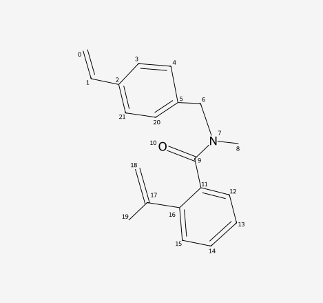 C=Cc1ccc(CN(C)C(=O)c2ccccc2C(=C)C)cc1